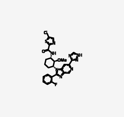 CO[C@@H]1[C@@H](NC(=O)c2ncc(Cl)s2)CCC[C@H]1n1c(-c2ccccc2F)nc2cnc(-c3nc[nH]n3)cc21